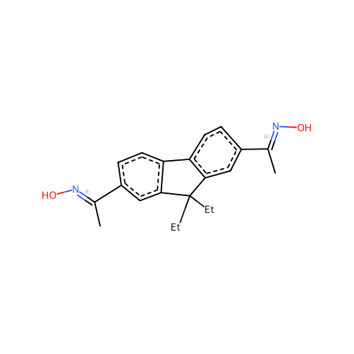 CCC1(CC)c2cc(/C(C)=N/O)ccc2-c2ccc(/C(C)=N/O)cc21